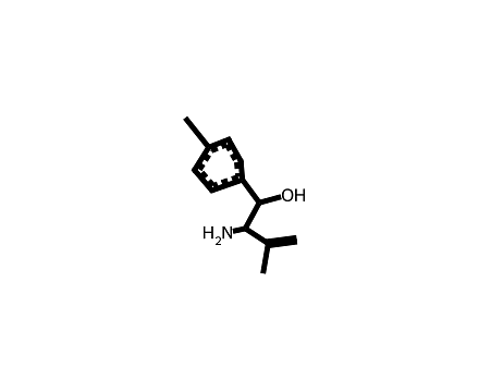 C=C(C)C(N)C(O)c1ccc(C)cc1